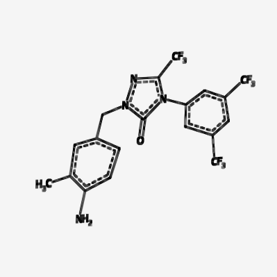 Cc1cc(Cn2nc(C(F)(F)F)n(-c3cc(C(F)(F)F)cc(C(F)(F)F)c3)c2=O)ccc1N